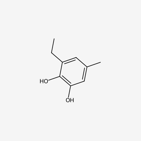 CCc1cc(C)cc(O)c1O